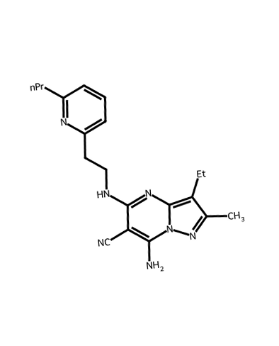 CCCc1cccc(CCNc2nc3c(CC)c(C)nn3c(N)c2C#N)n1